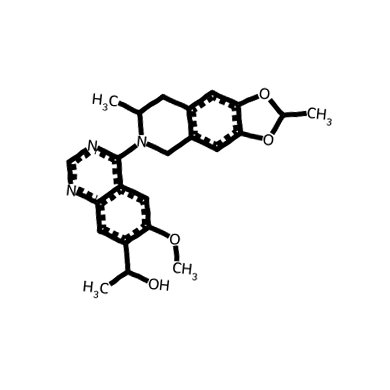 COc1cc2c(N3Cc4cc5c(cc4CC3C)OC(C)O5)ncnc2cc1C(C)O